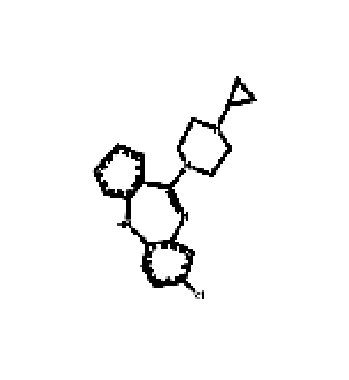 Clc1ccc2c(c1)N=C(N1CCN(C3CC3)CC1)c1ccccc1N2